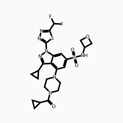 O=C(C1CC1)N1CCN(c2cc(S(=O)(=O)NC3COC3)cc3c2c(C2CC2)nn3-c2nnc(C(F)F)s2)CC1